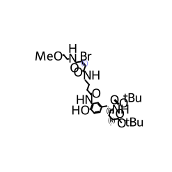 COCCNC(=O)/C(Br)=C\C(=O)NCCCC(=O)Nc1cc(C[C@@H](C[C@@H](C)C(=O)OC(C)(C)C)NC(=O)OC(C)(C)C)ccc1O